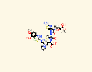 COc1ccc(NC(=S)NCC[N+]2(CC3=C(C(=O)[O-])N4C(=O)[C@@H](NC(=O)/C(=N\OC(C)(C)C(=O)O)c5csc(N)n5)[C@H]4SC3)CCCC2)c(Cl)c1O